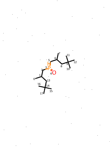 CC(C[PH](=O)CC(C)CC(C)(C)C)CC(C)(C)C